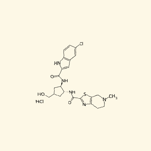 CN1CCc2nc(C(=O)N[C@@H]3CC(CO)C[C@H]3NC(=O)c3cc4cc(Cl)ccc4[nH]3)sc2C1.Cl